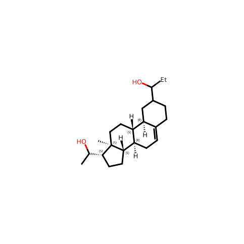 CCC(O)C1CCC2=CC[C@@H]3[C@H](CC[C@]4(C)[C@@H](C(C)O)CC[C@@H]34)[C@H]2C1